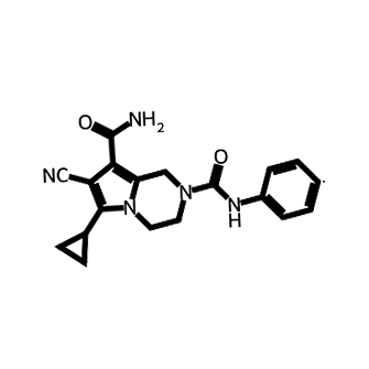 N#Cc1c(C(N)=O)c2n(c1C1CC1)CCN(C(=O)Nc1cc[c]cc1)C2